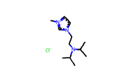 CC(C)N(CCn1cc[n+](C)c1)C(C)C.[Cl-]